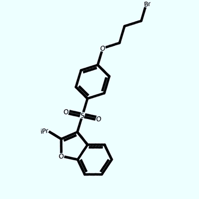 CC(C)c1oc2ccccc2c1S(=O)(=O)c1ccc(OCCCBr)cc1